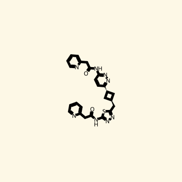 O=C(Cc1ccccn1)Nc1ccc([C@H]2C[C@H](Cc3nnc(NC(=O)Cc4ccccn4)s3)C2)nn1